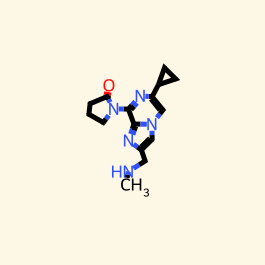 CNCc1cn2cc(C3CC3)nc(N3CCCC3=O)c2n1